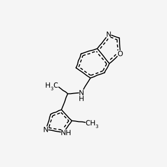 Cc1[nH]ncc1C(C)Nc1ccc2ncoc2c1